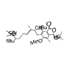 COc1c(C)c2c(c(C(C)(C)C)c1CC(O)C(C)=CCCC(O[SiH](C)C)C(C)(C)C)C(=O)OC2O[SiH](C)C